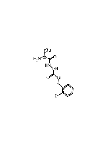 CCCC[C@H](N)C(=O)NNC(=O)NCc1ccccc1Cl